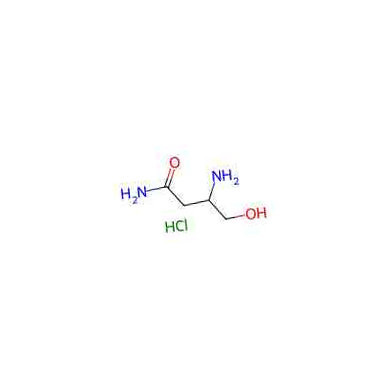 Cl.NC(=O)CC(N)CO